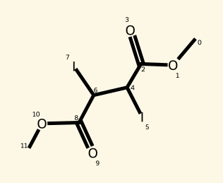 COC(=O)C(I)C(I)C(=O)OC